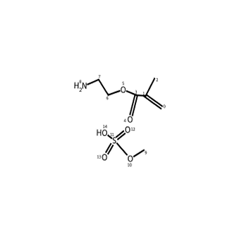 C=C(C)C(=O)OCCN.COS(=O)(=O)O